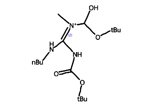 CCCCN/C(NC(=O)OC(C)(C)C)=[N+](\C)C(O)OC(C)(C)C